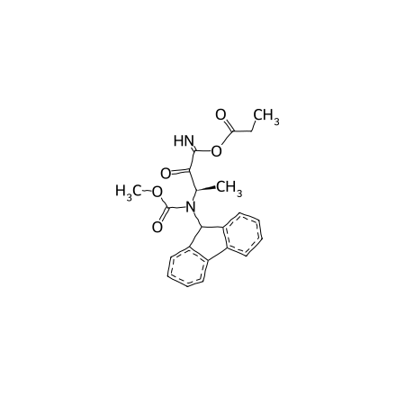 CCC(=O)OC(=N)C(=O)[C@@H](C)N(C(=O)OC)C1c2ccccc2-c2ccccc21